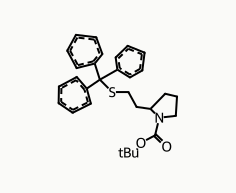 CC(C)(C)OC(=O)N1CCCC1CCSC(c1ccccc1)(c1ccccc1)c1ccccc1